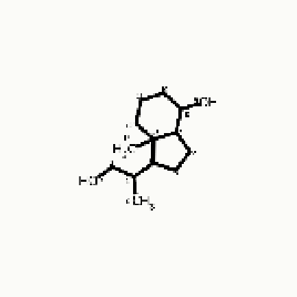 CC(CO)C1CCC2C(O)CCCC12C